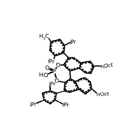 CCCCCCCCc1ccc2c3c(c(-c4c(C(C)C)cc(C)cc4C(C)C)cc2c1)OP(=O)(O)Oc1c(-c2c(C(C)C)cc(C(C)C)cc2C(C)C)cc2cc(CCCCCCCC)ccc2c1-3